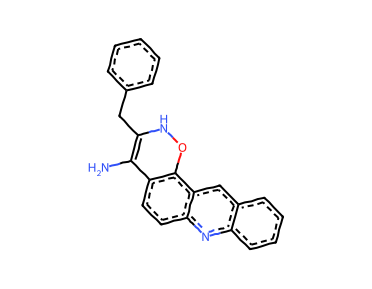 NC1=C(Cc2ccccc2)NOc2c1ccc1nc3ccccc3cc21